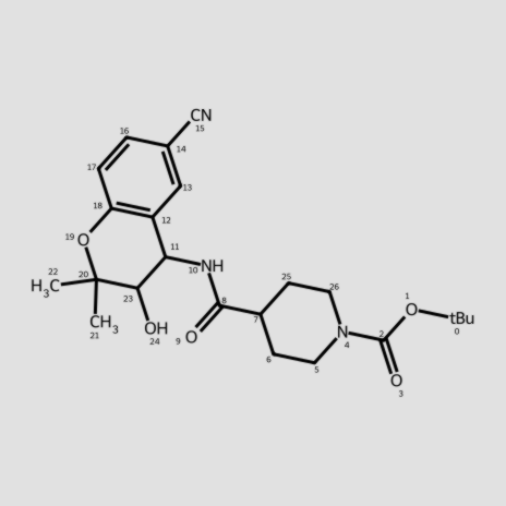 CC(C)(C)OC(=O)N1CCC(C(=O)NC2c3cc(C#N)ccc3OC(C)(C)C2O)CC1